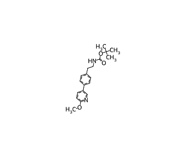 COc1ccc(-c2ccc(CCNC(=O)OC(C)(C)C)cc2)cn1